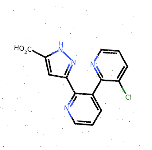 O=C(O)c1cc(-c2ncccc2-c2ncccc2Cl)n[nH]1